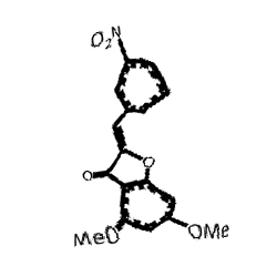 COc1cc(OC)c2c(c1)O/C(=C\c1cccc([N+](=O)[O-])c1)C2=O